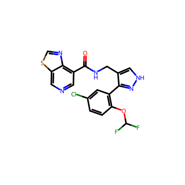 O=C(NCc1c[nH]nc1-c1cc(Cl)ccc1OC(F)F)c1cncc2scnc12